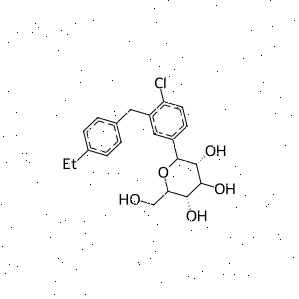 CCc1ccc(Cc2cc(C3OC(CO)[C@@H](O)C(O)[C@H]3O)ccc2Cl)cc1